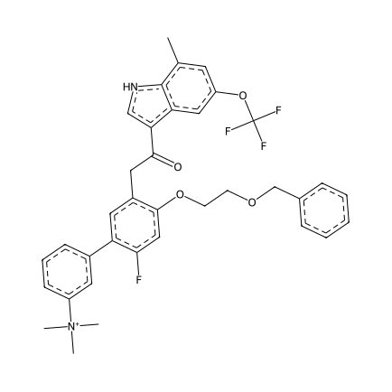 Cc1cc(OC(F)(F)F)cc2c(C(=O)Cc3cc(-c4cccc([N+](C)(C)C)c4)c(F)cc3OCCOCc3ccccc3)c[nH]c12